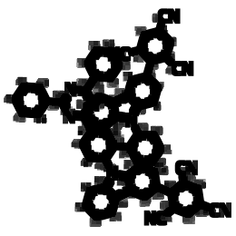 N#Cc1cc(C#N)c(-c2ccc3c(c2)c2ccccc2n3-c2ccccc2-c2cc(-c3nc(-c4ccccc4)nc(-c4ccccc4)n3)ccc2-n2c3ccccc3c3cc(-c4c(C#N)cc(C#N)cc4C#N)ccc32)c(C#N)c1